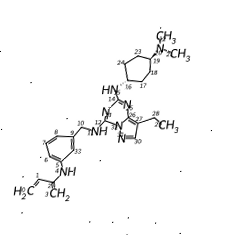 C=CC(=C)Nc1cccc(CNc2nc(N[C@H]3CC[C@H](N(C)C)CC3)nc3c(CC)cnn23)c1